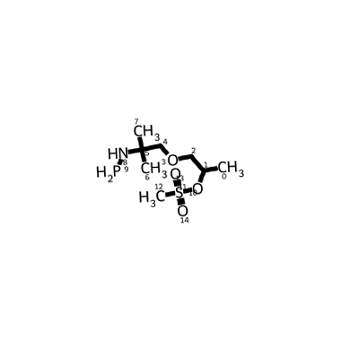 CC(COCC(C)(C)NP)OS(C)(=O)=O